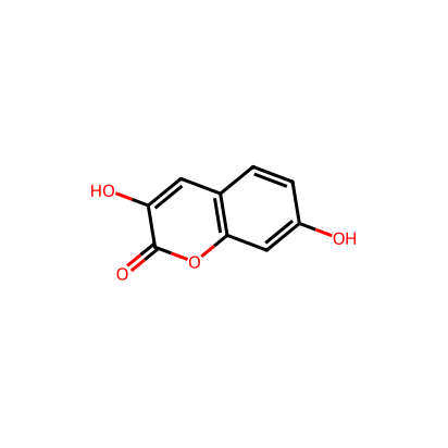 O=c1oc2cc(O)ccc2cc1O